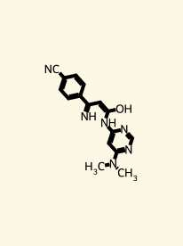 CN(C)c1cc(N/C(O)=C\C(=N)c2ccc(C#N)cc2)ncn1